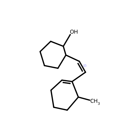 CC1CCCC=C1/C=C\C1CCCCC1O